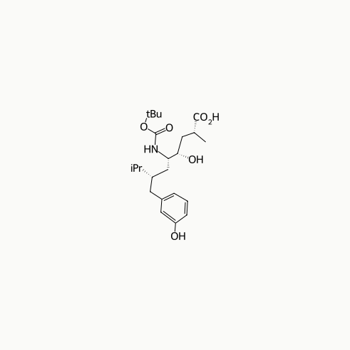 CC(C)[C@@H](Cc1cccc(O)c1)C[C@H](NC(=O)OC(C)(C)C)[C@@H](O)C[C@@H](C)C(=O)O